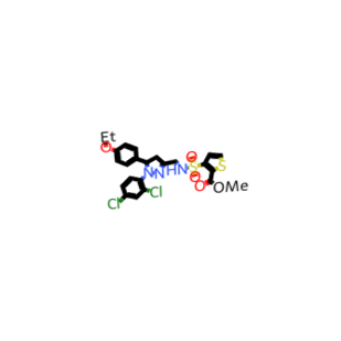 CCOc1ccc(C2CC(CNS(=O)(=O)c3ccsc3C(=O)OC)=NN2c2ccc(Cl)cc2Cl)cc1